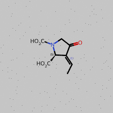 C/C=C1/C(=O)CN(C(=O)O)[C@@H]1C(=O)O